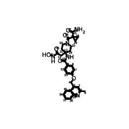 Cc1cc(COc2ccc(C(=O)NC3(CC(=O)NO)CCN(C(=O)C4(C(N)=O)CC4)CC3)cc2)c2ccccc2n1